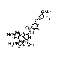 CO[C@H](C)CNCc1cc(F)c2c(c1)C(=O)N(c1cc(-c3ccc(C#N)cc3-c3nncn3C)cc(C3CC3)n1)C2